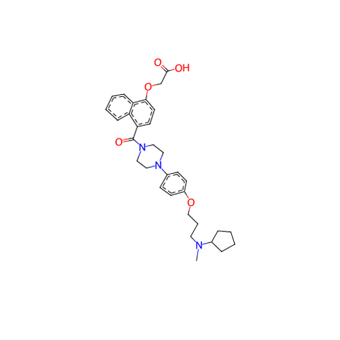 CN(CCCOc1ccc(N2CCN(C(=O)c3ccc(OCC(=O)O)c4ccccc34)CC2)cc1)C1CCCC1